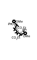 CCOC(=O)Cc1cc(-c2c(OC)cccc2OC(C)C)sc1-c1sc(-c2sc(-c3sc(-c4c(OC)cccc4OC(C)C)cc3CC(=O)OCC)c(C)c2C)c(C)c1C